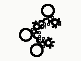 CN1C(C)(C)CC2(CC1(C)C)OC1(CCCCCCCCCCC1)N(CC(O)CN1C(=O)C3(CC(C)(C)N(CC(O)CN4C(=O)C5(CC(C)(C)NC(C)(C)C5)OC45CCCCCCCCCCC5)C(C)(C)C3)OC13CCCCCCCCCCC3)C2=O